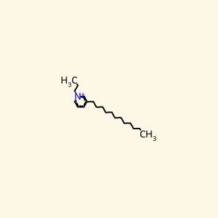 CCCCCCCCCCCCc1ccc[n+](CCC)c1